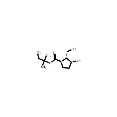 CCC(C)(C)OC(=O)N1CC[C@H](O)[C@H]1CO